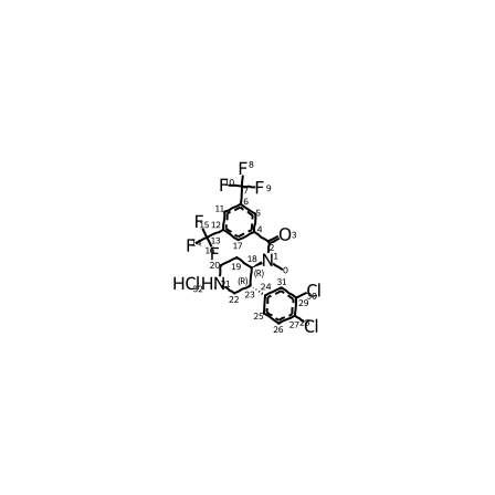 CN(C(=O)c1cc(C(F)(F)F)cc(C(F)(F)F)c1)[C@@H]1CCNC[C@H]1c1ccc(Cl)c(Cl)c1.Cl